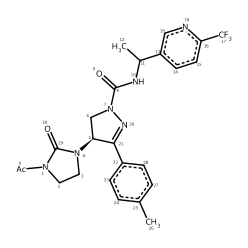 CC(=O)N1CCN([C@H]2CN(C(=O)NC(C)c3ccc(C(F)(F)F)nc3)N=C2c2ccc(C)cc2)C1=O